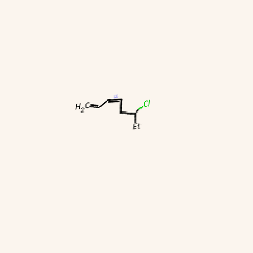 C=C/C=C\CC(Cl)CC